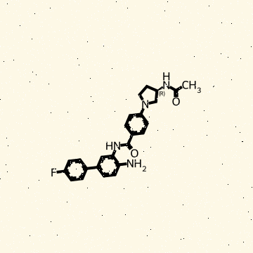 CC(=O)N[C@@H]1CCN(c2ccc(C(=O)Nc3cc(-c4ccc(F)cc4)ccc3N)cc2)C1